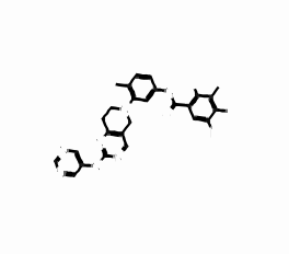 Cc1ccc(NC(=O)c2cc(F)c(F)c(C)c2F)cc1N1CCc2nc(Nc3cncnc3)ncc2C1